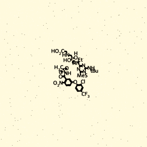 CCNc1nc(NC(C)(C)C)nc(SC)n1.CS(=O)(=O)NC(=O)c1cc(Oc2ccc(C(F)(F)F)cc2Cl)ccc1[N+](=O)[O-].O=C(O)CNCP(=O)(O)O